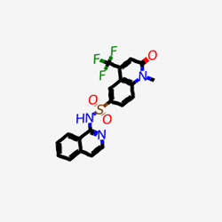 Cn1c(=O)cc(C(F)(F)F)c2cc(S(=O)(=O)Nc3nccc4ccccc34)ccc21